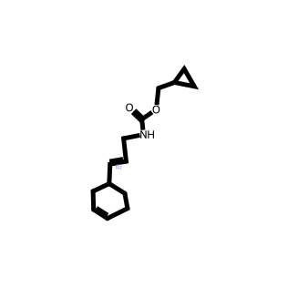 O=C(NC/C=C/C1CC=CCC1)OCC1CC1